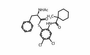 CC(=O)N[C@H](Cc1ccccc1)C(=O)Sc1cc(Cl)c(Cl)cc1NC(=O)C1(C)CCCCC1